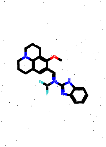 COc1c(/C=[N+](\B(F)F)c2nc3ccccc3[nH]2)cc2c3c1CCCN3CCC2